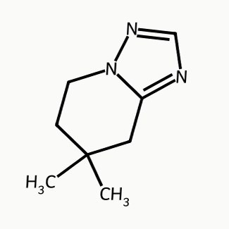 CC1(C)CCn2ncnc2C1